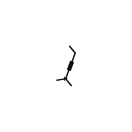 CCC#CN(C)C